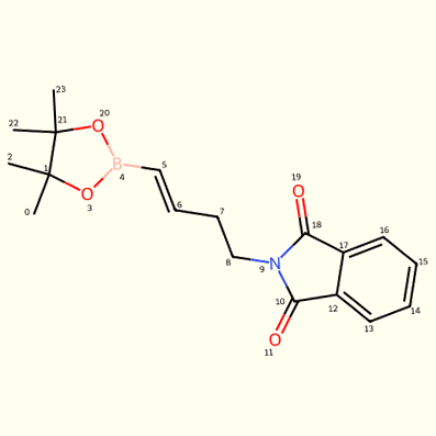 CC1(C)OB(C=CCCN2C(=O)c3ccccc3C2=O)OC1(C)C